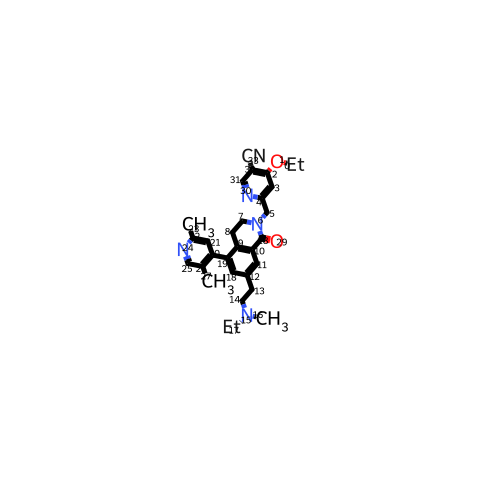 CCOc1cc(CN2CCc3c(cc(CCN(C)CC)cc3-c3cc(C)ncc3C)C2=O)ncc1C#N